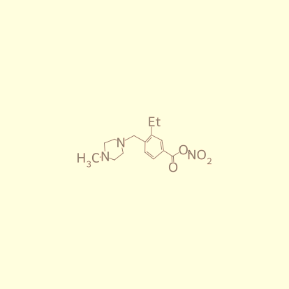 CCc1cc(C(=O)O[N+](=O)[O-])ccc1CN1CCN(C)CC1